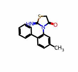 Cc1ccc(-c2ccccc2)c(N2C(=N)SCC2=O)c1